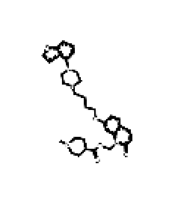 CN1CCC(C(=O)OCn2c(=O)ccc3ccc(OCCCCN4CCN(c5cccc6sccc56)CC4)cc32)CC1